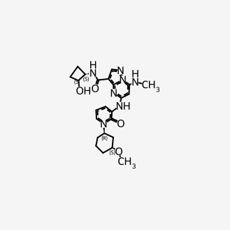 CNc1cc(Nc2cccn([C@@H]3CCC[C@H](OC)C3)c2=O)nc2c(C(=O)N[C@H]3CC[C@@H]3O)cnn12